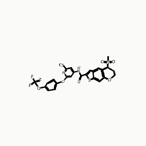 CS(=O)(=O)C1CCOc2cc3sc(C(=O)Nc4cc(Cl)nc(Oc5ccc(OC(F)(F)F)cc5)c4)cc3cc21